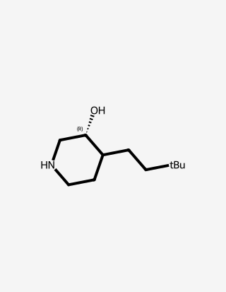 CC(C)(C)CCC1CCNC[C@@H]1O